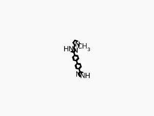 CN1CCCC1c1nc(-c2ccc(-c3ccc(-c4c[nH]cn4)cc3)cc2)c[nH]1